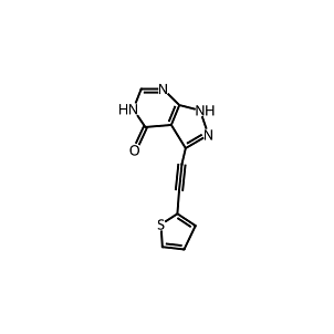 O=c1[nH]cnc2[nH]nc(C#Cc3cccs3)c12